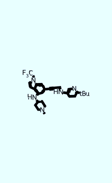 CN1CCC(Nc2cc(C#CCNc3ccc(C(C)(C)C)nc3)cc3c2ccn3CC(F)(F)F)CC1